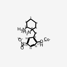 NC1CCCCC1(N)Cc1cc([N+](=O)[O-])ccc1O.[Co]